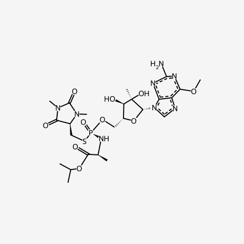 COc1nc(N)nc2c1ncn2[C@@H]1O[C@H](CO[P@](=O)(N[C@@H](C)C(=O)OC(C)C)SC[C@H]2C(=O)N(C)C(=O)N2C)[C@@H](O)[C@@]1(C)O